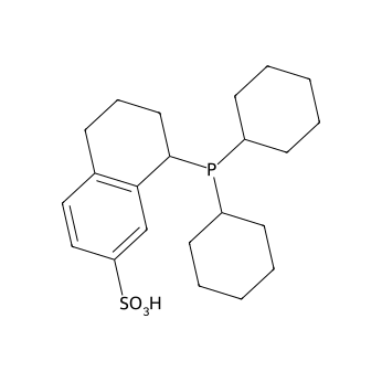 O=S(=O)(O)c1ccc2c(c1)C(P(C1CCCCC1)C1CCCCC1)CCC2